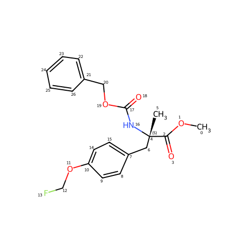 COC(=O)[C@](C)(Cc1ccc(OCF)cc1)NC(=O)OCc1ccccc1